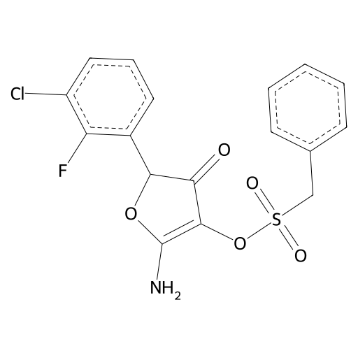 NC1=C(OS(=O)(=O)Cc2ccccc2)C(=O)C(c2cccc(Cl)c2F)O1